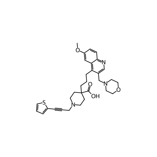 COc1ccc2ncc(CN3CCOCC3)c(CCCC3(C(=O)O)CCN(CC#Cc4cccs4)CC3)c2c1